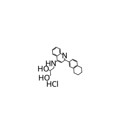 Cl.OCC(O)CNc1cc(-c2ccc3c(c2)CCCC3)nc2ccccc12